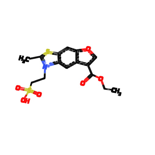 CCOC(=O)c1coc2cc3sc(C)[n+](CCS(=O)(=O)O)c3cc12